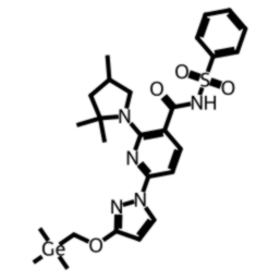 CC1CN(c2nc(-n3ccc(O[CH2][Ge]([CH3])([CH3])[CH3])n3)ccc2C(=O)NS(=O)(=O)c2ccccc2)C(C)(C)C1